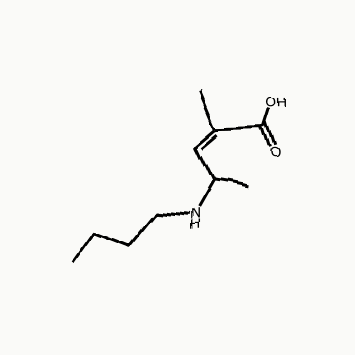 CCCCNC(C)C=C(C)C(=O)O